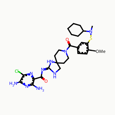 COc1ccc(C(=O)N2CCC3(CC2)CN/C(=N\C(=O)c2nc(Cl)c(N)nc2N)N3)cc1SN(C)C1CCCCC1